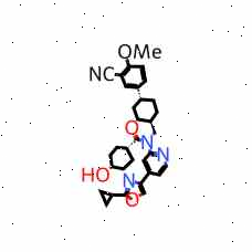 COc1ccc([C@H]2CC[C@H](CN(c3cc(-c4coc(C5CC5)n4)ccn3)C(=O)[C@H]3CC[C@H](O)CC3)CC2)cc1C#N